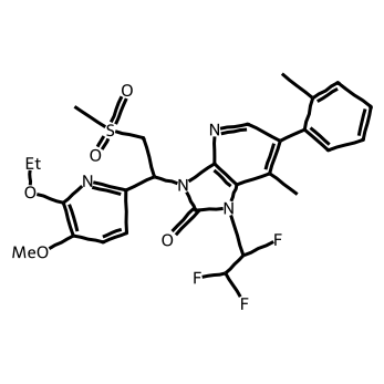 CCOc1nc(C(CS(C)(=O)=O)n2c(=O)n(C(F)C(F)F)c3c(C)c(-c4ccccc4C)cnc32)ccc1OC